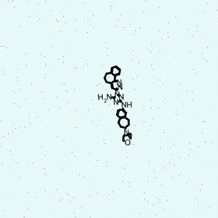 Nc1nc(Nc2ccc3c(c2)CCC(N2CC4CC2CO4)CC3)nn1-c1cc2c(nn1)-c1ccccc1CCC2